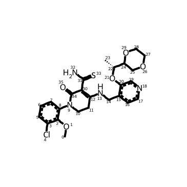 COc1c(Cl)cccc1N1CCC(NCc2ccncc2O[C@H](C)C2COCCO2)=C(C(N)=S)C1=O